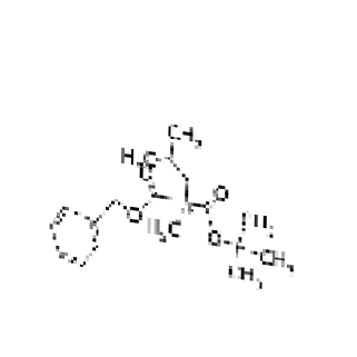 CC(C)C[C@](C)(C(=O)OCc1ccccc1)C(=O)OC(C)(C)C